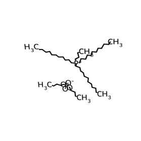 CCCCCCCCCCCC[P+](CCCC)(CCCCCCCCCCCC)CCCCCCCCCCCC.CCCCOP(=O)([O-])OCCCC